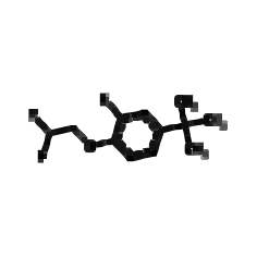 CC(C)(C)c1ccc(OCC(F)F)c(F)c1